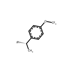 CC(C)[C@@H](C)c1ccc(OC(F)(F)F)cc1